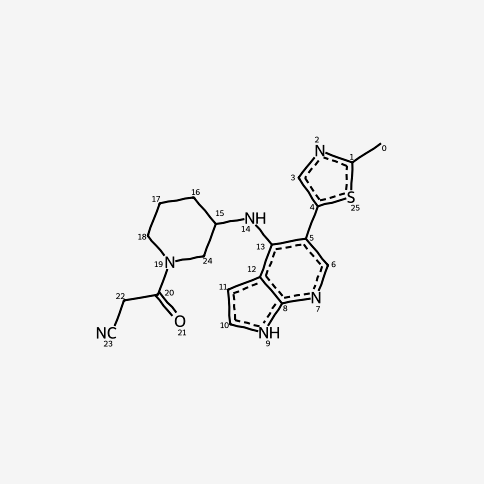 Cc1ncc(-c2cnc3[nH]ccc3c2NC2CCCN(C(=O)CC#N)C2)s1